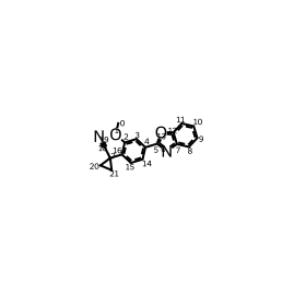 COc1cc(-c2nc3ccccc3o2)ccc1C1(C#N)CC1